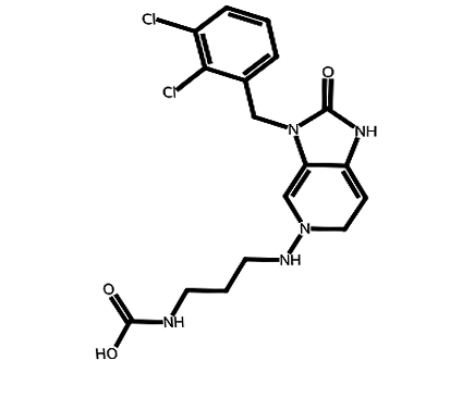 O=C(O)NCCCNN1C=c2c([nH]c(=O)n2Cc2cccc(Cl)c2Cl)=CC1